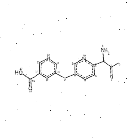 CC(=O)C(N)c1ccc(Cc2cncc(C(=O)O)c2)cn1